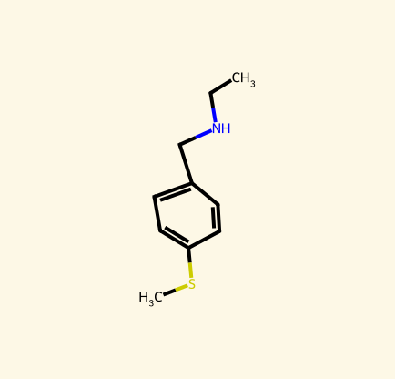 CCNCc1ccc(SC)cc1